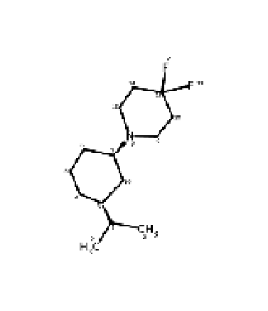 CC(C)[C@H]1CCC[C@@H](N2CCC(F)(F)CC2)C1